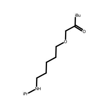 CCC(C)C(=O)COCCCCCNC(C)C